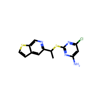 CC(Sc1nc(N)cc(Cl)n1)c1cc2ccsc2cn1